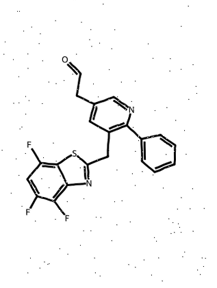 O=CCc1cnc(-c2ccccc2)c(Cc2nc3c(F)c(F)cc(F)c3s2)c1